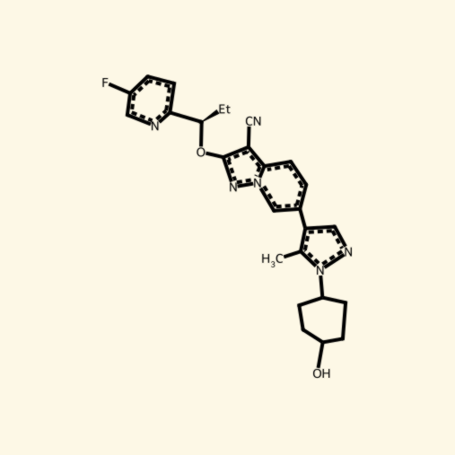 CC[C@@H](Oc1nn2cc(-c3cnn(C4CCC(O)CC4)c3C)ccc2c1C#N)c1ccc(F)cn1